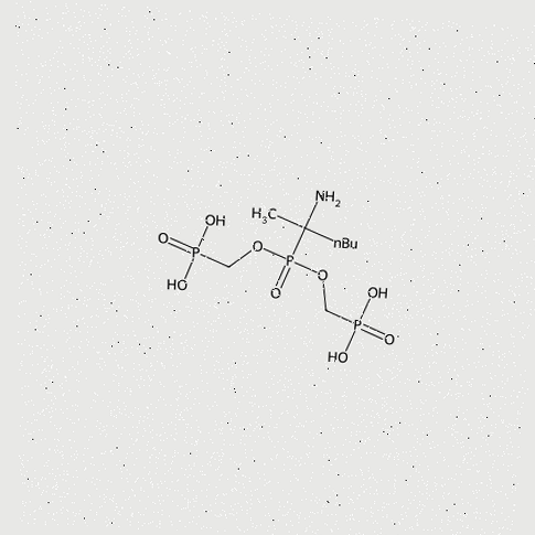 CCCCC(C)(N)P(=O)(OCP(=O)(O)O)OCP(=O)(O)O